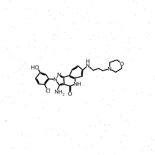 Nc1c2c(=O)[nH]c3cc(NCCCN4CCOCC4)ccc3c2nn1-c1cc(O)ccc1Cl